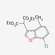 CCOC(=O)C(C(=O)OCC)c1coc2c(Cl)ccc(C)c12